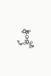 CN=C[C@@H]1C[C@@H]1COc1nc(C(=O)NC23CC(C2)C3)cc(N2CCC(c3n[nH]c4ncncc34)CC2)n1